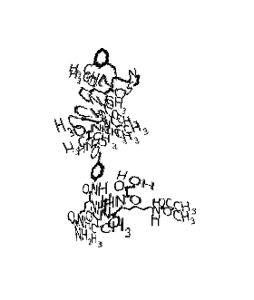 CC[C@H](C)[C@@H]([C@@H](CC(=O)N1CCC[C@H]1[C@H](OC)[C@@H](C)C(=O)N[C@@H](Cc1cccc(C)c1)c1nccs1)OC)N(C)C(=O)[C@@H](NC(=O)C(C)(C)NC(=O)OCc1ccc(NC(=O)[C@H](CCCNC(N)=O)NC(=O)[C@@H](NC(=O)[C@H](CCCCNC(=O)OC(C)(C)C)NC(=O)[C@@H](O)CO)C(C)C)cc1)C(C)C